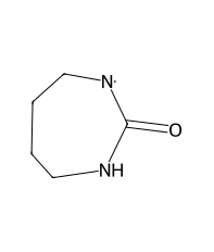 O=C1[N]CCCCN1